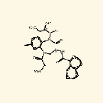 COCC(=O)N1C[C@H](NC(=O)c2nccc3ccccc23)C(=O)N(N(C(C)=O)[C@H](C=O)CC(=O)O)c2ccc(F)cc21